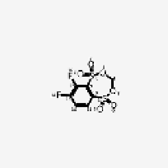 O=S1(=O)OCOS(=O)(=O)c2c1ccc(F)c2F